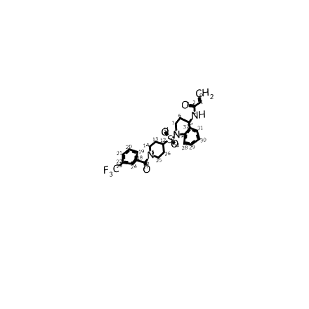 C=CC(=O)NC1CCN(S(=O)(=O)C2CCN(C(=O)c3cccc(C(F)(F)F)c3)CC2)c2ccccc21